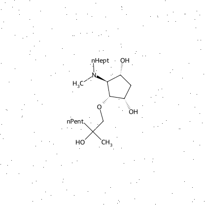 CCCCCCCN(C)[C@@H]1[C@@H](OCC(C)(O)CCCCC)[C@@H](O)C[C@H]1O